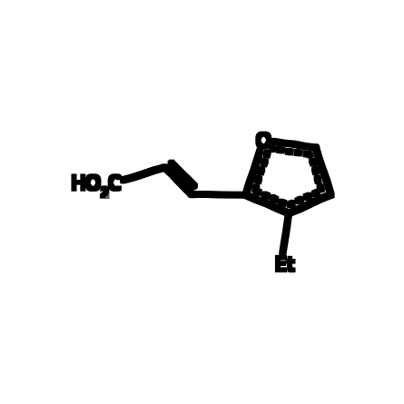 CCc1ccoc1/C=C/C(=O)O